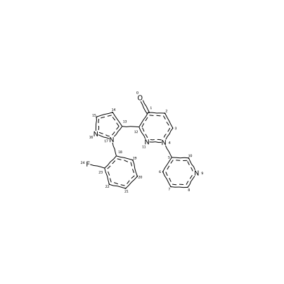 O=c1ccn(-c2cccnc2)nc1-c1ccnn1-c1ccccc1F